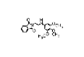 COc1cc(NCCN2C(=O)c3ccccc3C2=O)cc(OC)c1OC